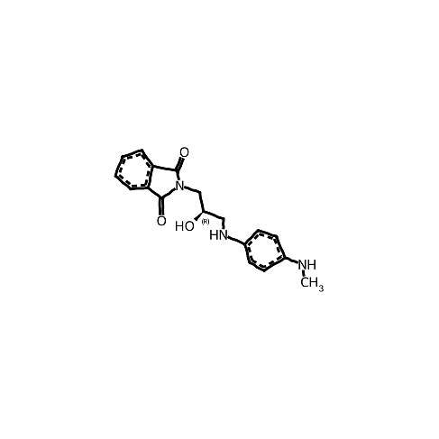 CNc1ccc(NC[C@@H](O)CN2C(=O)c3ccccc3C2=O)cc1